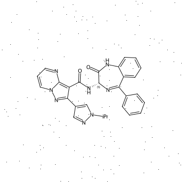 CC(C)n1cc(-c2nn3cccnc3c2C(=O)N[C@H]2N=C(c3ccccc3)c3ccccc3NC2=O)cn1